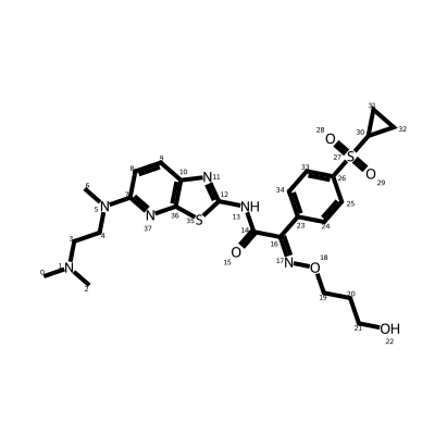 CN(C)CCN(C)c1ccc2nc(NC(=O)/C(=N/OCCCO)c3ccc(S(=O)(=O)C4CC4)cc3)sc2n1